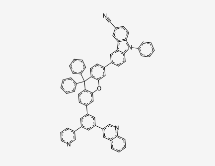 N#Cc1ccc2c(c1)c1cc(-c3ccc4c(c3)Oc3cc(-c5cc(-c6cccnc6)cc(-c6cnc7ccccc7c6)c5)ccc3C4(c3ccccc3)c3ccccc3)ccc1n2-c1ccccc1